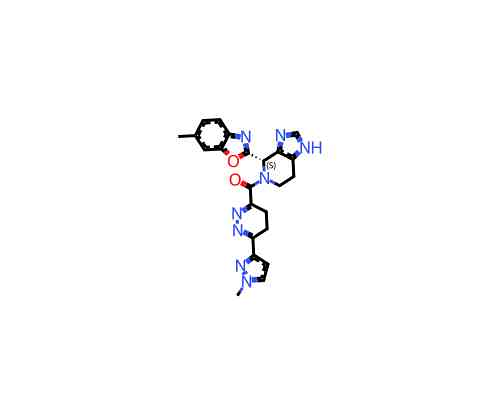 Cc1ccc2nc([C@@H]3c4nc[nH]c4CCN3C(=O)C3=NN=C(c4ccn(C)n4)CC3)oc2c1